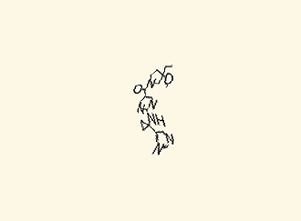 CCC1(OC)CCN(C(=O)c2cnc(NC3(c4cncnc4)CC3)nc2)C1